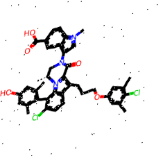 Cc1cc(OCCCc2c3n(c4c(-c5c(C)cc(O)cc5C)c(Cl)ccc24)[C@H](C)CN(c2cn(C)c4ccc(C(=O)O)cc24)C3=O)cc(C)c1Cl